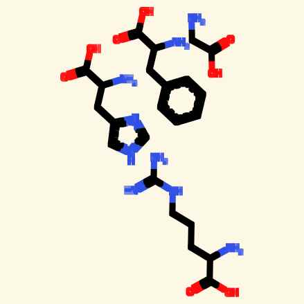 N=C(N)NCCCC(N)C(=O)O.NC(Cc1c[nH]cn1)C(=O)O.NC(Cc1ccccc1)C(=O)O.NCC(=O)O